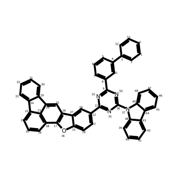 c1ccc(-c2cccc(-c3nc(-c4ccc5oc6c7cccc8c7c(cc6c5c4)-c4ccccc4-8)nc(-n4c5ccccc5c5ccccc54)n3)c2)cc1